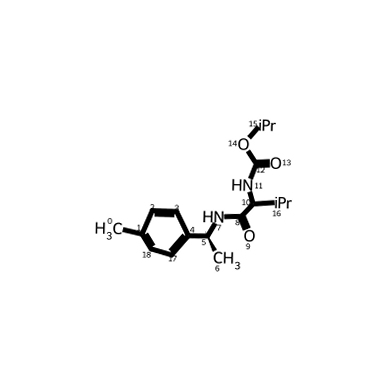 Cc1ccc([C@H](C)NC(=O)C(NC(=O)OC(C)C)C(C)C)cc1